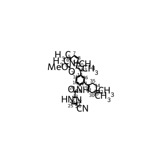 COC(=O)N1C(C)(C)C=CC1(C)CC(C)c1ccc(NC(=O)c2nc(C#N)c[nH]2)c(C2=CCC(C)(C)CC2)c1